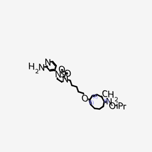 C=C1/C=C\C(OCCCCCN2CCN(c3ccnc(N)c3)S2(=O)=O)=C/CCC/C1=N\OC(C)C